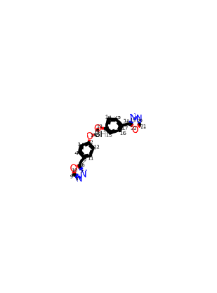 B(Oc1ccc(-c2nnco2)cc1)Oc1ccc(-c2nnco2)cc1